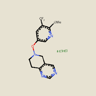 COc1ncc(ON2CCc3ncncc3C2)cc1C(F)(F)F.Cl.Cl